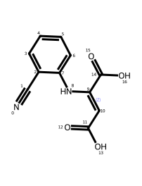 N#Cc1ccccc1N/C(=C\C(=O)O)C(=O)O